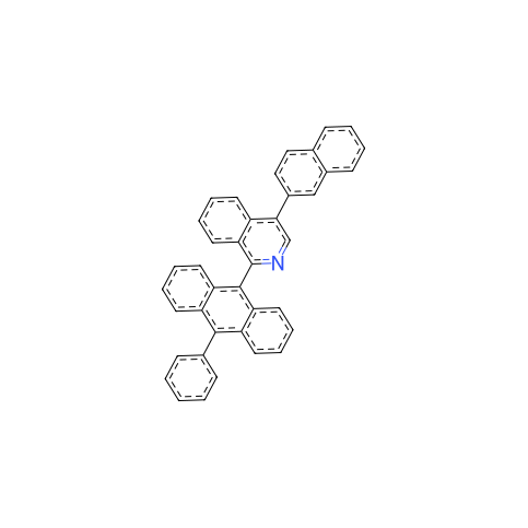 c1ccc(-c2c3ccccc3c(-c3ncc(-c4ccc5ccccc5c4)c4ccccc34)c3ccccc23)cc1